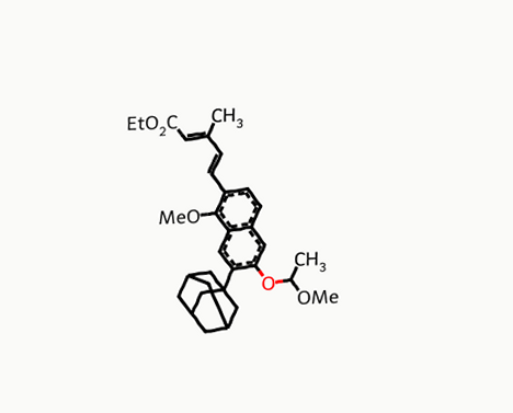 CCOC(=O)C=C(C)C=Cc1ccc2cc(OC(C)OC)c(C34CC5CC(CC(C5)C3)C4)cc2c1OC